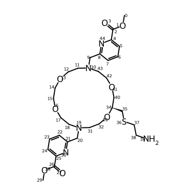 COC(=O)c1cccc(CN2CCOCCOCCN(Cc3cccc(C(=O)OC)n3)CCO[C@H](CSCCN)COCC2)n1